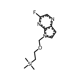 C[Si](C)(C)CCOCn1ccc2ncc(F)nc21